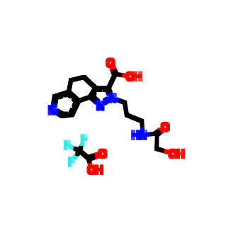 O=C(CO)NCCCn1nc2c(c1C(=O)O)CCc1cnccc1-2.O=C(O)C(F)(F)F